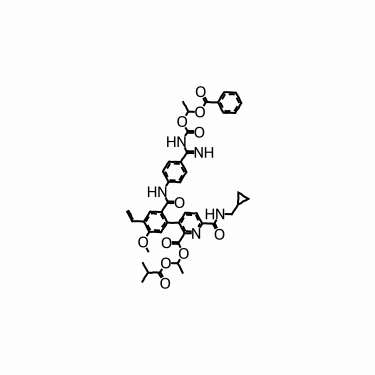 C=Cc1cc(C(=O)Nc2ccc(C(=N)NC(=O)OC(C)OC(=O)c3ccccc3)cc2)c(-c2ccc(C(=O)NCC3CC3)nc2C(=O)OC(C)OC(=O)C(C)C)cc1OC